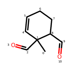 CC1([C]=O)C=CCCC1[C]=O